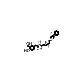 OCc1cc(C[C@H](O)NCCCC(F)(F)CCOCC(F)(F)c2ccccc2)ccc1O